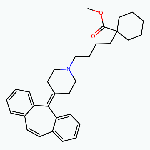 COC(=O)C1(CCCCN2CCC(=C3c4ccccc4C=Cc4ccccc43)CC2)CCCCC1